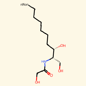 CCCCCCCCCCCCCCC[C@H](O)[C@H](CO)NC(=O)CO